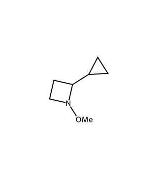 CON1CCC1C1CC1